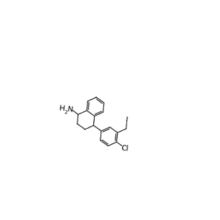 NC1CCC(c2ccc(Cl)c(CI)c2)c2ccccc21